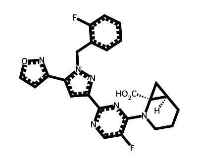 O=C(O)[C@]12C[C@H]1CCCN2c1nc(-c2cc(-c3ccon3)n(Cc3ccccc3F)n2)ncc1F